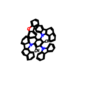 N#Cc1c(-n2c3ccccc3c3ccccc32)c(C#N)c(-n2c3ccccc3c3ccc4ccccc4c32)c(-c2ccc3oc4ccccc4c3c2)c1-n1c2ccccc2c2ccc3ccccc3c21